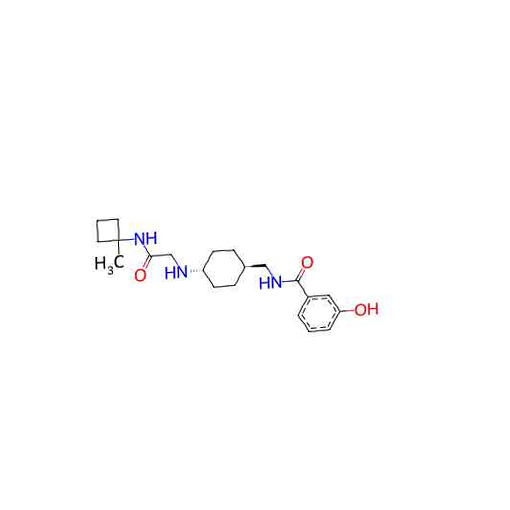 CC1(NC(=O)CN[C@H]2CC[C@H](CNC(=O)c3cccc(O)c3)CC2)CCC1